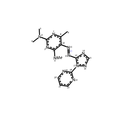 CNc1nc(N(C)C)nc(C)c1/N=N/c1ncnn1-c1ncccn1